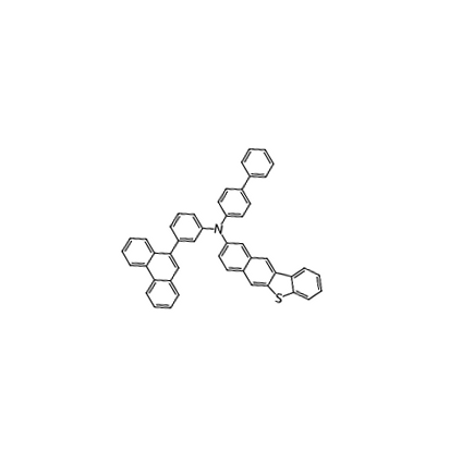 c1ccc(-c2ccc(N(c3cccc(-c4cc5ccccc5c5ccccc45)c3)c3ccc4cc5sc6ccccc6c5cc4c3)cc2)cc1